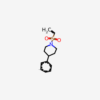 C=CS(=O)(=O)N1CCC(c2c[c]ccc2)CC1